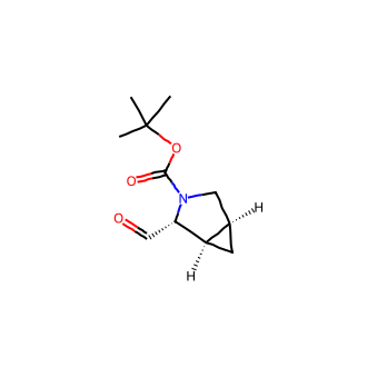 CC(C)(C)OC(=O)N1C[C@H]2C[C@H]2[C@@H]1C=O